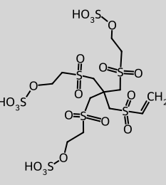 C=CS(=O)(=O)CC(CS(=O)(=O)CCOS(=O)(=O)O)(CS(=O)(=O)CCOS(=O)(=O)O)CS(=O)(=O)CCOS(=O)(=O)O